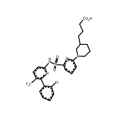 CCc1ccccc1-c1nc(NS(=O)(=O)c2cccc(N3CCCC(CCCC(=O)O)C3)n2)ccc1C(F)(F)F